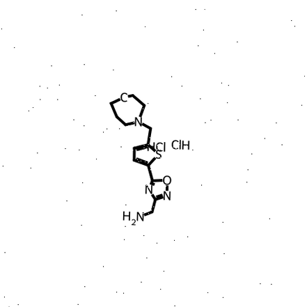 Cl.Cl.NCc1noc(-c2ccc(CN3CCCCCC3)s2)n1